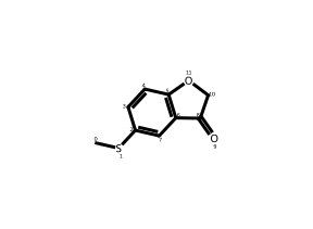 CSc1ccc2c(c1)C(=O)CO2